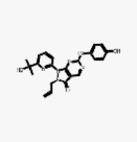 C=CCn1c(=O)c2cnc(Nc3ccc(O)cc3)nc2n1-c1cccc(C(C)(C)O)n1